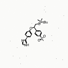 CC(C)(C)[Si](C)(C)OCC(Oc1ccc(-c2c[nH]cn2)cc1)c1ccc(S(C)(=O)=O)cc1